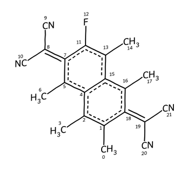 Cc1c(C)c2c(C)c(=C(C#N)C#N)c(F)c(C)c2c(C)c1=C(C#N)C#N